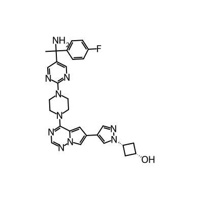 CC(N)(c1ccc(F)cc1)c1cnc(N2CCN(c3ncnn4cc(-c5cnn([C@H]6C[C@@H](O)C6)c5)cc34)CC2)nc1